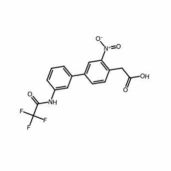 O=C(O)Cc1ccc(-c2cccc(NC(=O)C(F)(F)F)c2)cc1[N+](=O)[O-]